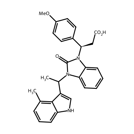 COc1ccc([C@@H](CC(=O)O)n2c(=O)n(C(C)c3c[nH]c4cccc(C)c34)c3ccccc32)cc1